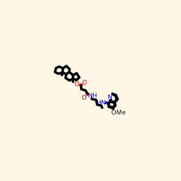 COc1cc(NC(C)CCCNC(=O)CCC(=O)OC2CCC3C4CCC5CCCCC5(C)C4CCC23C)c2ncccc2c1